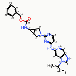 CC(C)n1cnc2cnc(Nc3ccnc(N4CC5C(C4)C5NC(=O)OCc4ccccc4)n3)cc21